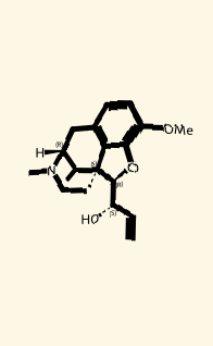 C=C[C@H](O)[C@@H]1Oc2c(OC)ccc3c2[C@@]12CCN(C)[C@H](C3)C2C